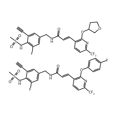 C#Cc1cc(CNC(=O)C=Cc2ccc(C(F)(F)F)nc2OC2CCOC2)cc(F)c1NS(C)(=O)=O.C#Cc1cc(CNC(=O)C=Cc2ccc(C(F)(F)F)nc2Oc2ccc(F)cc2)cc(F)c1NS(C)(=O)=O